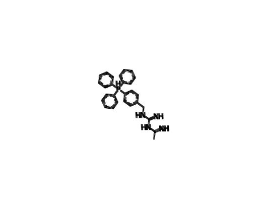 CC(=N)NC(=N)NCc1ccc([PH](c2ccccc2)(c2ccccc2)c2ccccc2)cc1